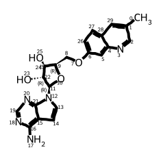 Cc1cnc2cc(OC[C@H]3O[C@@H](n4ccc5c(N)ncnc54)[C@H](O)[C@@H]3O)ccc2c1